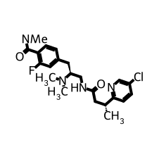 CNC(=O)c1ccc(C[C@@H](CNC(=O)C[C@@H](C)c2ccc(Cl)cn2)N(C)C)cc1F